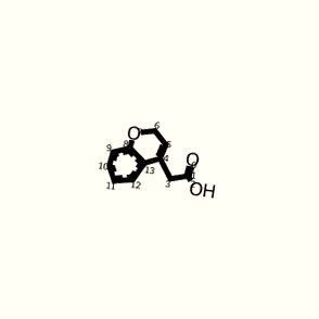 O=C(O)CC1=CCOc2ccccc21